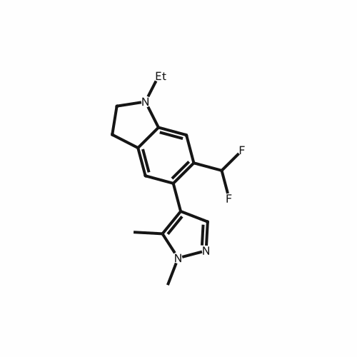 CCN1CCc2cc(-c3cnn(C)c3C)c(C(F)F)cc21